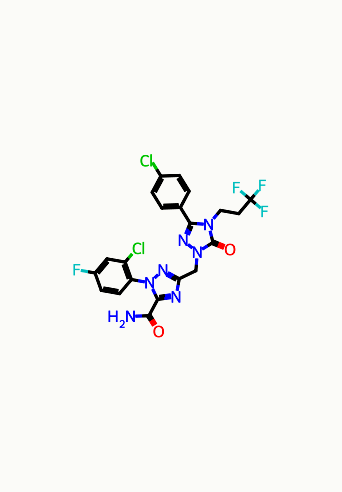 NC(=O)c1nc(Cn2nc(-c3ccc(Cl)cc3)n(CCC(F)(F)F)c2=O)nn1-c1ccc(F)cc1Cl